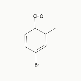 CC1C=C(Br)C=CC1C=O